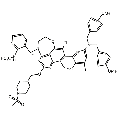 COc1ccc(CN(Cc2ccc(OC)cc2)c2cc(C)c(C(F)(F)F)c(-c3c(Cl)c4c5c(nc(OCC6CCN(S(C)(=O)=O)CC6)nc5c3F)N([C@H](C)c3cccnc3NC(=O)O)CCO4)n2)cc1